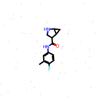 Cc1cc(NC(=O)C2CNC3CC32)ccc1F